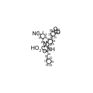 N#Cc1cccc(Cn2c(C(=O)O)c(NC(=O)CCc3ccccc3)c3ccc(-c4ccc5c(c4)OCO5)cc32)c1